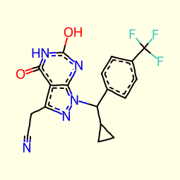 N#CCc1nn(C(c2ccc(C(F)(F)F)cc2)C2CC2)c2nc(O)[nH]c(=O)c12